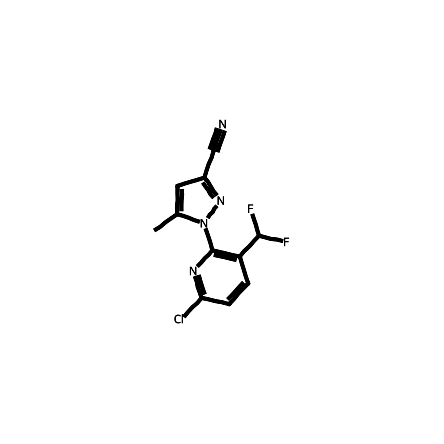 Cc1cc(C#N)nn1-c1nc(Cl)ccc1C(F)F